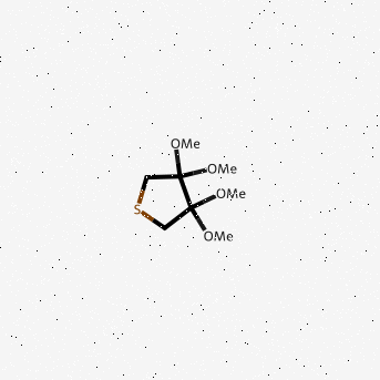 COC1(OC)CSCC1(OC)OC